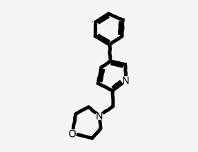 [c]1cccc(-c2ccc(CN3CCOCC3)nc2)c1